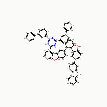 c1ccc(-c2cccc(-c3nc(-c4cccc(-c5ccccc5)c4)nc(-c4cccc5oc6ccc(-c7cccc8oc9ccc(-c%10ccc%11c(c%10)sc%10ccccc%10%11)cc9c78)cc6c45)n3)c2)cc1